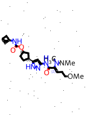 CNN(C)/C(=C\CCOC)C(=O)Nc1cc([C@H]2CC[C@@H](OC(=O)NC34CC(C3)C4)C2)[nH]n1